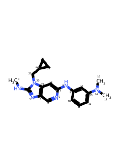 CNc1nc2cnc(Nc3cccc(N(C)C)c3)cc2n1CC1CC1